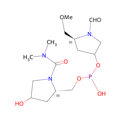 COC[C@@H]1CC(OP(O)OC[C@@H]2CC(O)CN2C(=O)N(C)C)CN1C=O